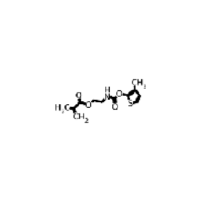 C=C(C)C(=O)OCCNC(=O)Oc1sccc1C